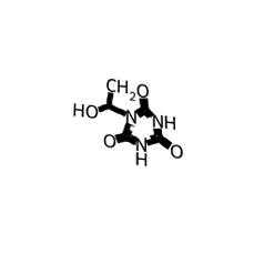 [CH2]C(O)n1c(=O)[nH]c(=O)[nH]c1=O